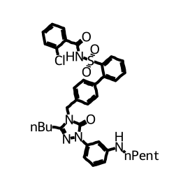 CCCCCNc1cccc(-n2nc(CCCC)n(Cc3ccc(-c4ccccc4S(=O)(=O)NC(=O)c4ccccc4Cl)cc3)c2=O)c1